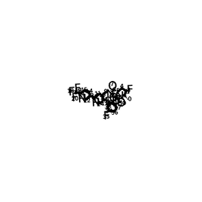 C[C@H]1[C@H](F)C[C@@H](C(=O)NCc2cc(-c3ccc(C(F)(F)F)nc3)ncc2F)N1S(=O)(=O)c1ccc(F)cc1